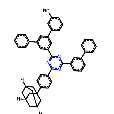 N#Cc1cccc(-c2cc(-c3ccccc3)cc(-c3nc(-c4ccc(C56C[C@H]7C[C@H](C5)C[C@@H](C6)C7)cc4)nc(-c4cccc(-c5ccccc5)c4)n3)c2)c1